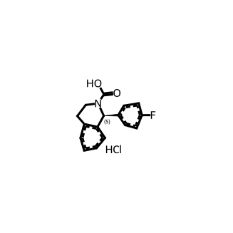 Cl.O=C(O)N1CCc2ccccc2[C@@H]1c1ccc(F)cc1